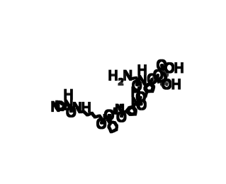 CN(CCON(C(=O)CCCCCCNC(=O)Nc1ccncc1)C1CCCCC1)C(=O)c1cccc(NC(=O)OCc2ccc(O[C@H]3C[C@@H](O)C[C@@H](C(=O)O)O3)c(NC(=O)CCN)c2)c1